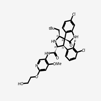 COc1cc(OCCO)ncc1NC(=O)[C@@H]1N[C@@H](CC(C)(C)C)[C@@]2(C(=O)Nc3cc(Cl)ccc32)[C@H]1c1cccc(Cl)c1F